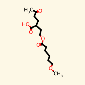 COCCCCCC(=O)OCCC(CCC(C)=O)C(=O)O